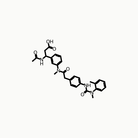 CC(=O)NC(CC(=O)O)c1cccc(N(C)C(=O)Cc2ccc(NC(=O)N(C)c3ccccc3C)cc2)c1